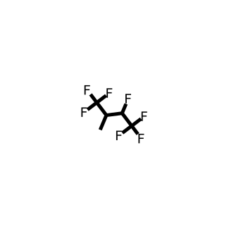 CC(C(F)C(F)(F)F)C(F)(F)F